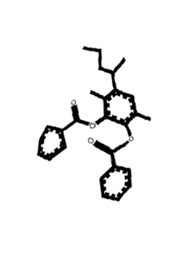 CCCC(C)c1cc(C)c(OC(=O)c2ccccc2)c(OC(=O)c2ccccc2)c1C